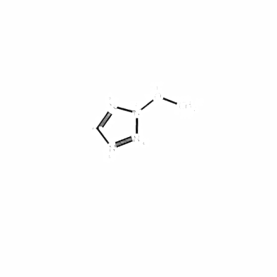 [CH2]On1ncnn1